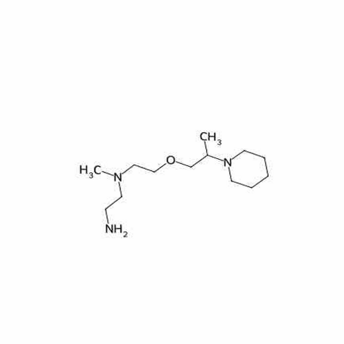 CC(COCCN(C)CCN)N1CCCCC1